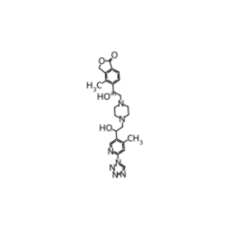 Cc1cc(-n2cnnn2)ncc1C(O)CN1CCN(C[C@H](O)c2ccc3c(c2C)COC3=O)CC1